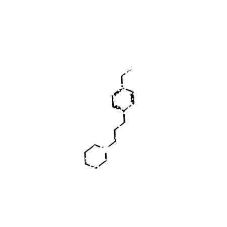 ICc1ccc(CCCN2CCCCC2)cc1